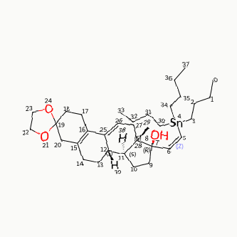 CCC[CH2][Sn](/[CH]=C\[C@]1(O)CC[C@H]2[C@@H]3CCC4=C(CCC5(C4)OCCO5)C3=CC[C@@]21C)([CH2]CCC)[CH2]CCC